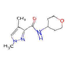 Cc1cn(C)nc1C(=O)NC1CCOCC1